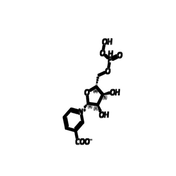 O=C([O-])c1ccc[n+]([C@@H]2O[C@H](CO[PH](=O)OO)[C@@H](O)[C@H]2O)c1